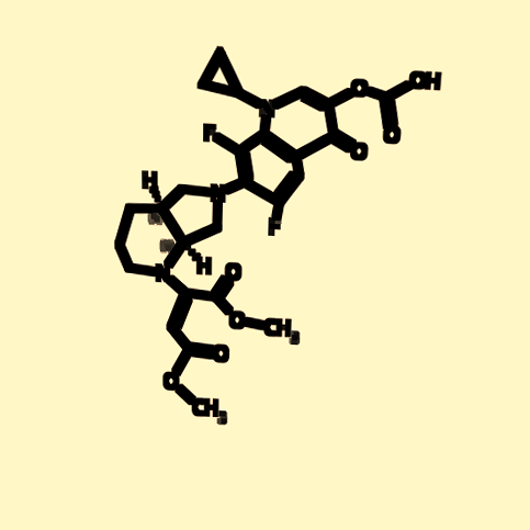 COC(=O)C=C(C(=O)OC)N1CCC[C@H]2CN(c3c(F)cc4c(=O)c(OC(=O)O)cn(C5CC5)c4c3F)C[C@H]21